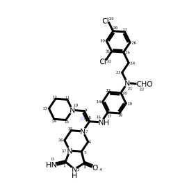 N=C1NC(=O)C2CN(/C(=C\N3CCCCC3)Nc3ccc(N(C=O)CCc4ccc(Cl)cc4Cl)cc3)CCN12